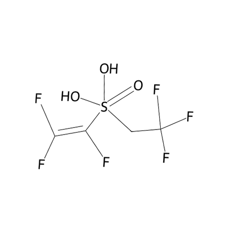 O=S(O)(O)(CC(F)(F)F)C(F)=C(F)F